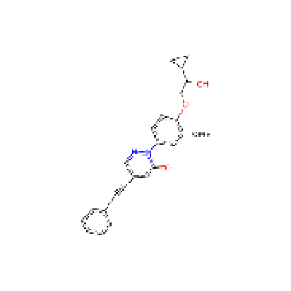 COc1cc(-n2ncc(C#Cc3ccccc3)cc2=O)ccc1OCC(O)C1CC1